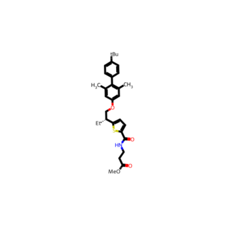 CC[C@H](COc1cc(C)c(-c2ccc(C(C)(C)C)cc2)c(C)c1)c1ccc(C(=O)NCCC(=O)OC)s1